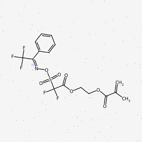 C=C(C)C(=O)OCCOC(=O)C(F)(F)S(=O)(=O)O/N=C(\c1ccccc1)C(F)(F)F